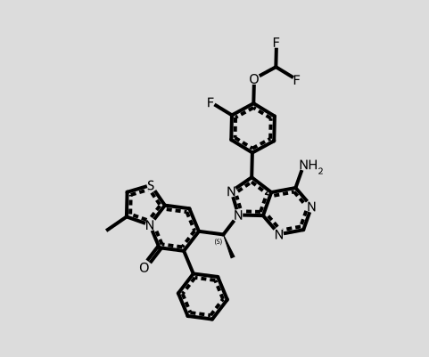 Cc1csc2cc([C@H](C)n3nc(-c4ccc(OC(F)F)c(F)c4)c4c(N)ncnc43)c(-c3ccccc3)c(=O)n12